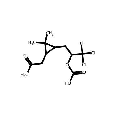 CC(=O)CC1C(CC(OC(=O)O)C(Cl)(Cl)Cl)C1(C)C